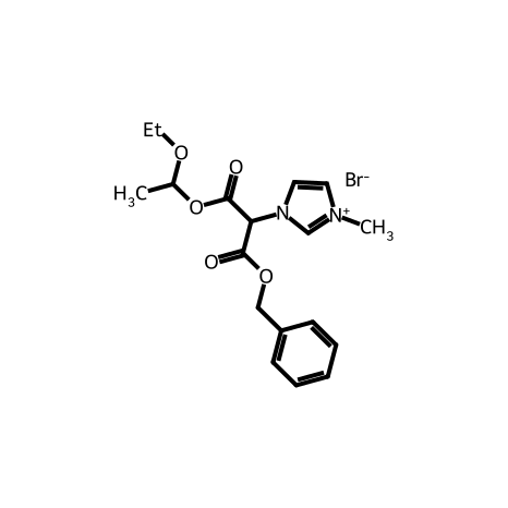 CCOC(C)OC(=O)C(C(=O)OCc1ccccc1)n1cc[n+](C)c1.[Br-]